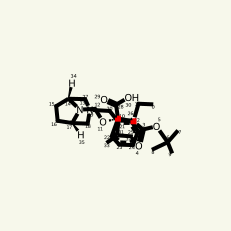 CCN(C(=O)OC(C)(C)C)[C@](OCN1[C@@H]2CC[C@H]1CN(Cc1ccccc1)C2)(C(=O)O)C(C)C